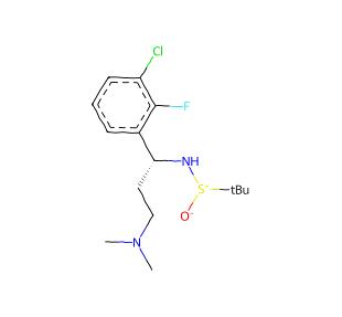 CN(C)CC[C@@H](N[S+]([O-])C(C)(C)C)c1cccc(Cl)c1F